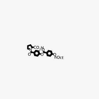 CCCCCCCCOc1ccc(C(=O)Oc2ccc(C(=O)N3CCCC3C(=O)O)cc2)cc1